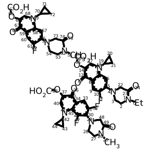 CCN1CCN(c2cc3c(cc2F)c(=O)c(OC(=O)O)cn3C2CC2)CC1=O.CN1CCN(c2c(F)cc3c(=O)c(OC(=O)O)cn(C4CC4)c3c2F)CC1=O.CN1CCN(c2cc3c(cc2F)c(=O)c(OC(=O)O)cn3C2CC2)CC1=O